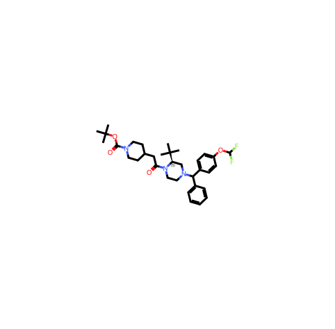 CC(C)(C)OC(=O)N1CCC(CC(=O)N2CCN(C(c3ccccc3)c3ccc(OC(F)F)cc3)C[C@@H]2C(C)(C)C)CC1